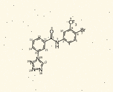 O=C(Nc1ccc(Br)c(C(F)(F)F)c1)c1cccc(-n2cnnn2)c1